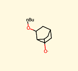 [CH2]CCCOC1CC2CCC1C([O])C2